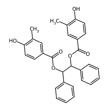 Cc1cc(C(=O)OC(c2ccccc2)C(OC(=O)c2ccc(O)c(C)c2)c2ccccc2)ccc1O